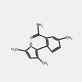 Cc1ccc(-c2[nH]c(C)cc2C)c(C(N)=O)c1